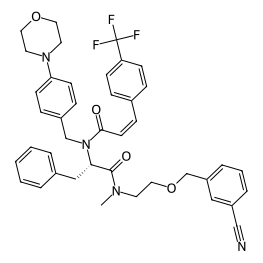 CN(CCOCc1cccc(C#N)c1)C(=O)[C@H](Cc1ccccc1)N(Cc1ccc(N2CCOCC2)cc1)C(=O)C=Cc1ccc(C(F)(F)F)cc1